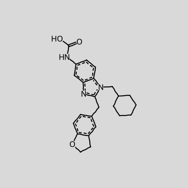 O=C(O)Nc1ccc2c(c1)nc(Cc1ccc3c(c1)CCO3)n2CC1CCCCC1